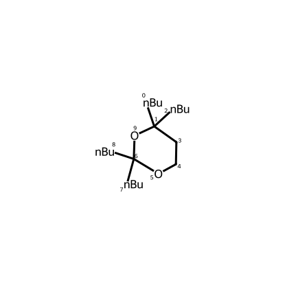 CCCCC1(CCCC)CCOC(CCCC)(CCCC)O1